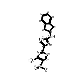 Cc1nc(-c2c[nH]c(NC3Cc4ccccc4C3)n2)ncc1[N+](=O)[O-]